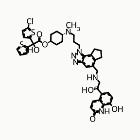 CN(CCCn1nnc2cc(CNC[C@H](O)c3ccc(O)c4[nH]c(=O)ccc34)c3c(c21)CCC3)[C@H]1CC[C@H](OC(=O)C(O)(c2cccs2)c2ccc(Cl)s2)CC1